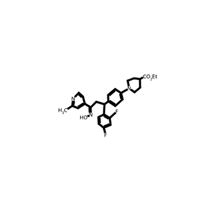 CCOC(=O)C1CCN(c2ccc(C(CC(=NO)c3ccnc(C)c3)c3ccc(F)cc3F)cc2)CC1